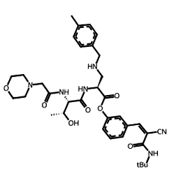 Cc1ccc(CNC[C@H](NC(=O)[C@@H](NC(=O)CN2CCOCC2)[C@@H](C)O)C(=O)Oc2cccc(C=C(C#N)C(=O)NC(C)(C)C)c2)cc1